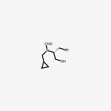 CC(C)C[C@H](CO)N(C=O)CC1CC1